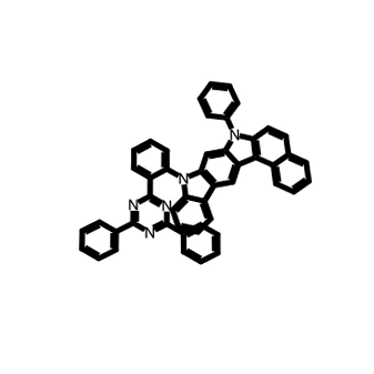 c1ccc(-c2nc(-c3ccccc3)nc(-c3ccccc3-n3c4ccccc4c4cc5c6c7ccccc7ccc6n(-c6ccccc6)c5cc43)n2)cc1